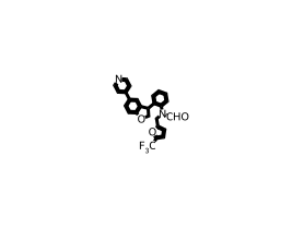 O=CN(Cc1ccc(C(F)(F)F)o1)c1ccccc1C1COc2ccc(-c3ccncc3)cc21